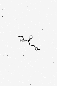 [CH2]CNC(=O)CCOC